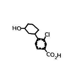 O=C(O)c1ccc(C2CCCC(O)C2)c(Cl)c1